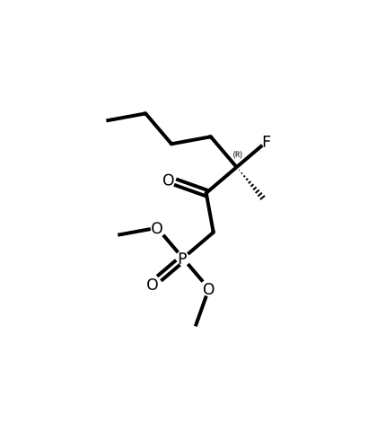 CCCC[C@@](C)(F)C(=O)CP(=O)(OC)OC